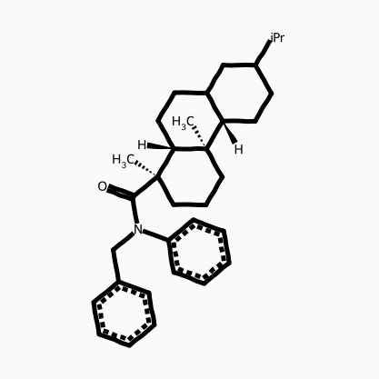 CC(C)C1CC[C@H]2C(CC[C@@H]3[C@]2(C)CCC[C@@]3(C)C(=O)N(Cc2ccccc2)c2ccccc2)C1